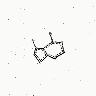 Brc1csc2ccnc(Br)c12